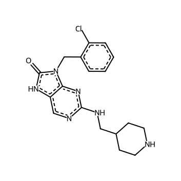 O=c1[nH]c2cnc(NCC3CCNCC3)nc2n1Cc1ccccc1Cl